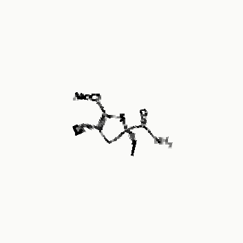 COC1=C(Br)CC(I)(C(N)=O)S1